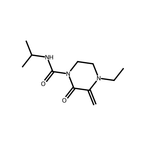 C=C1C(=O)N(C(=O)NC(C)C)CCN1CC